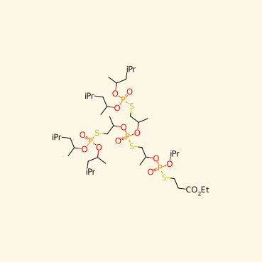 CCOC(=O)CCSP(=O)(OC(C)C)OC(C)CSP(=O)(OC(C)CSP(=O)(OC(C)CC(C)C)OC(C)CC(C)C)OC(C)CSP(=O)(OC(C)CC(C)C)OC(C)CC(C)C